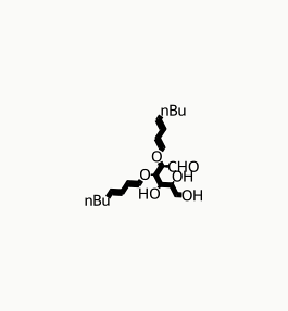 CCCCC=CC=CO[C@@H]([C@H](O)[C@H](O)CO)[C@H](C=O)OC=CC=CCCCC